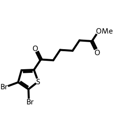 COC(=O)CCCCC(=O)c1cc(Br)c(Br)s1